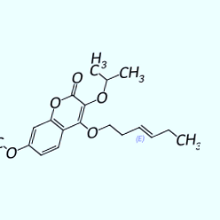 CC/C=C/CCOc1c(OC(C)C)c(=O)oc2cc(OC)ccc12